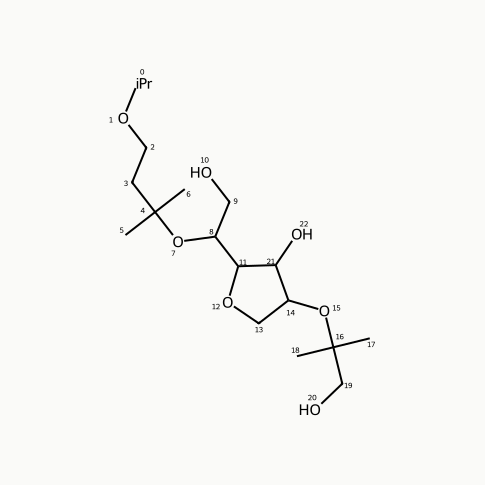 CC(C)OCCC(C)(C)OC(CO)C1OCC(OC(C)(C)CO)C1O